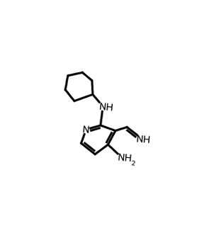 N=Cc1c(N)ccnc1NC1CCCCC1